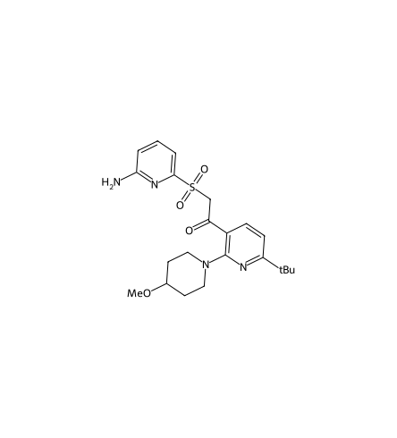 COC1CCN(c2nc(C(C)(C)C)ccc2C(=O)CS(=O)(=O)c2cccc(N)n2)CC1